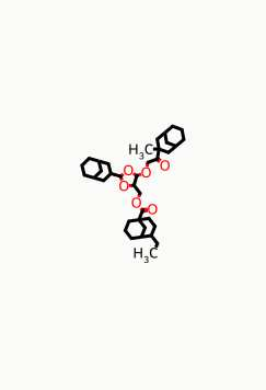 CCC1CCC2(C(=O)OCC3OC(C4CC5CCCC(C5)C4)OC3OCC(=O)C3(C)CC4CCCC(C4)C3)CCCC1C2